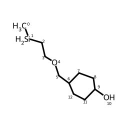 C[SiH2]CCOCC1CCC(O)CC1